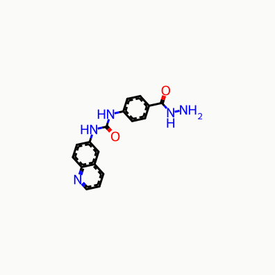 NNC(=O)c1ccc(NC(=O)Nc2ccc3ncccc3c2)cc1